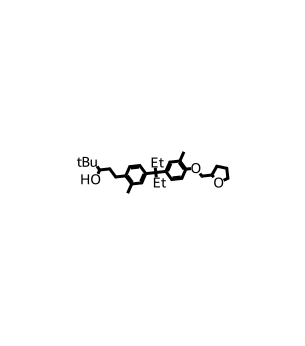 CCC(CC)(c1ccc(CCC(O)C(C)(C)C)c(C)c1)c1ccc(OCC2CCCO2)c(C)c1